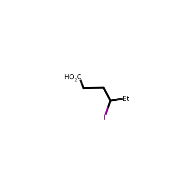 CCC(I)CCC(=O)O